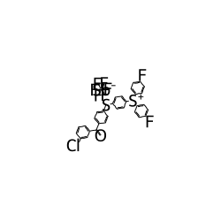 O=C(c1ccc(Sc2ccc([S+](c3ccc(F)cc3)c3ccc(F)cc3)cc2)cc1)c1cccc(Cl)c1.[F][Sb-]([F])([F])([F])([F])[F]